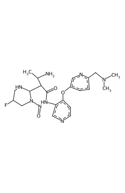 CC(N)C(C(=O)Nc1cnccc1Oc1ccc(CN(C)C)nc1)C1NCC(F)CN1N=O